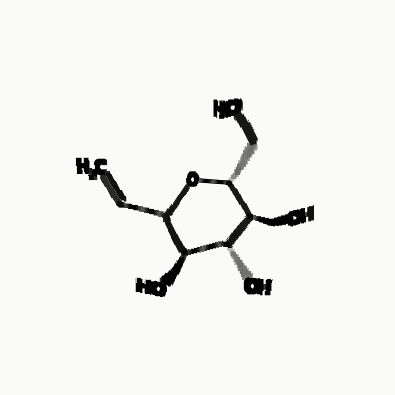 C=C[C]1O[C@H](CO)[C@@H](O)[C@H](O)[C@H]1O